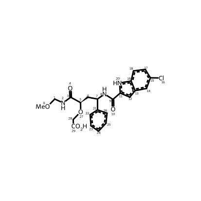 COCNC(=O)[C@@H](CC(NC(=O)c1cc2cc(Cl)ccc2[nH]1)c1ccccc1)OCC(=O)O